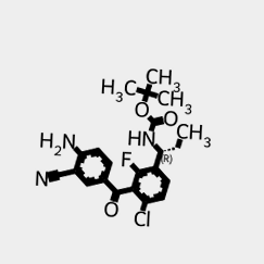 CC[C@@H](NC(=O)OC(C)(C)C)c1ccc(Cl)c(C(=O)c2ccc(N)c(C#N)c2)c1F